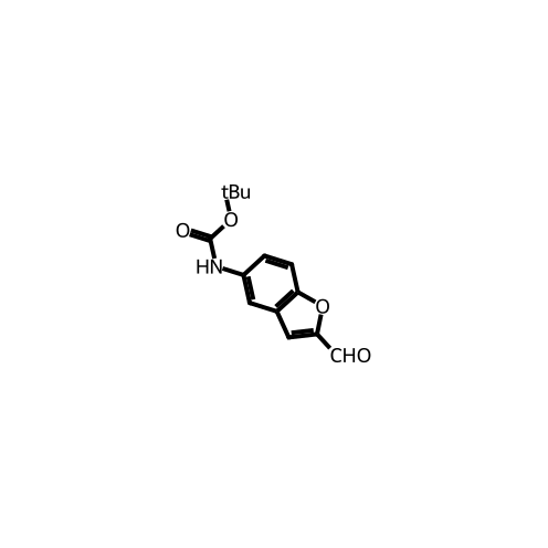 CC(C)(C)OC(=O)Nc1ccc2oc(C=O)cc2c1